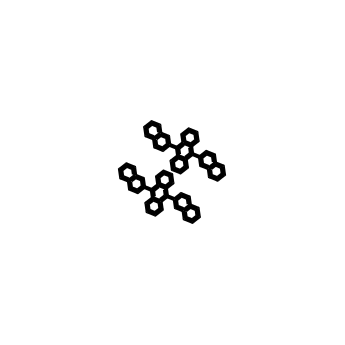 c1ccc2cc(-c3c4ccccc4c(-c4ccc5ccccc5c4)c4ccccc34)ccc2c1.c1ccc2cc(-c3c4ccccc4c(-c4ccc5ccccc5c4)c4ccccc34)ccc2c1